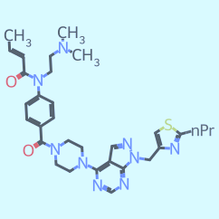 CC=CC(=O)N(CCN(C)C)c1ccc(C(=O)N2CCN(c3ncnc4c3cnn4Cc3csc(CCC)n3)CC2)cc1